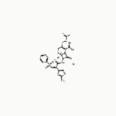 CC(=O)OCC1=C(C(=O)[O-])N2C(=O)C(NC(=O)/C(=C\S(=O)(=O)c3ccccc3)c3csc(N)n3)[C@H]2SC1.[Na+]